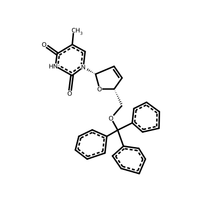 Cc1cn([C@@H]2C=C[C@H](COC(c3ccccc3)(c3ccccc3)c3ccccc3)O2)c(=O)[nH]c1=O